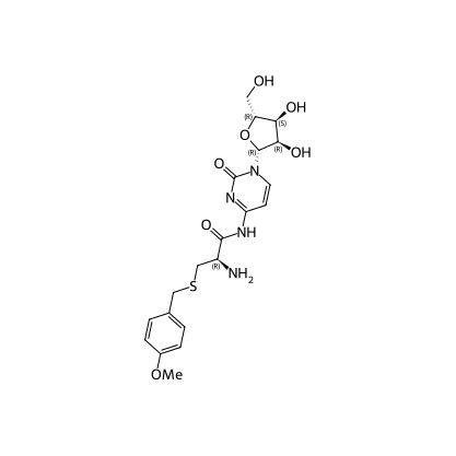 COc1ccc(CSC[C@H](N)C(=O)Nc2ccn([C@@H]3O[C@H](CO)[C@@H](O)[C@H]3O)c(=O)n2)cc1